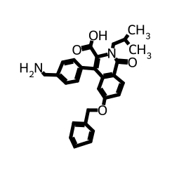 CC(C)Cn1c(C(=O)O)c(-c2ccc(CN)cc2)c2cc(OCc3ccccc3)ccc2c1=O